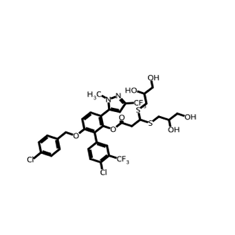 Cn1nc(C(F)(F)F)cc1-c1ccc(OCc2ccc(Cl)cc2)c(-c2ccc(Cl)c(C(F)(F)F)c2)c1OC(=O)CC(SCC(O)CO)SCC(O)CO